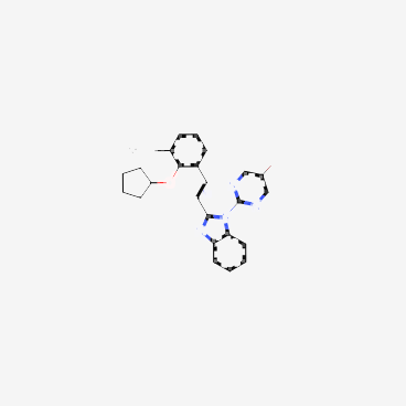 COc1cccc(/C=C/c2nc3ccccc3n2-c2ncc(Br)cn2)c1OC1CCCC1